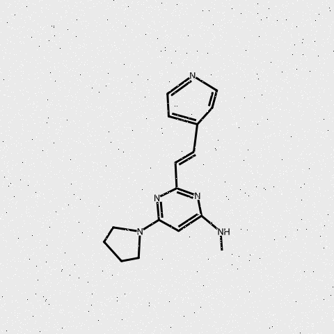 CNc1cc(N2CCCC2)nc(/C=C/c2ccncc2)n1